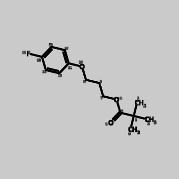 CC(C)(C)C(=O)OCCCOc1ccc(F)cc1